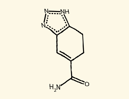 NC(=O)C1=Cc2nn[nH]c2CC1